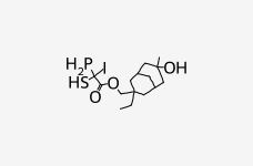 CCC1(COC(=O)C(P)(S)I)CC2CC(CC(C)(O)C2)C1